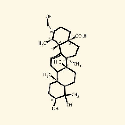 C[C@H]1[C@H](CO)CC[C@]2(C(=O)O)CC[C@]3(C)C(=CCC4[C@@]5(C)CC[C@H](O)C(C)(C)C5CC[C@]43C)[C@H]12